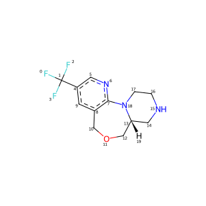 FC(F)(F)c1cnc2c(c1)COC[C@H]1CNCCN21